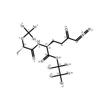 [2H]C([2H])([2H])O[C@@H](C)C(=O)N[C@@H](CCC(=O)C=[N+]=[N-])C(=O)OC([2H])([2H])C([2H])([2H])[2H]